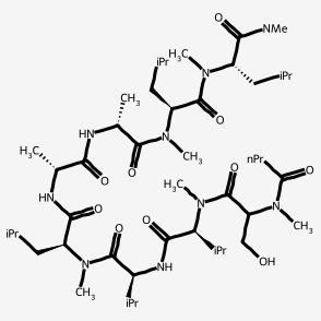 CCCC(=O)N(C)C(CO)C(=O)N(C)[C@H](C(=O)N[C@H](C(=O)N(C)[C@@H](CC(C)C)C(=O)N[C@H](C)C(=O)N[C@H](C)C(=O)N(C)[C@@H](CC(C)C)C(=O)N(C)[C@@H](CC(C)C)C(=O)NC)C(C)C)C(C)C